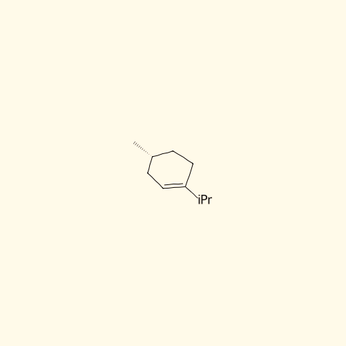 CC(C)C1=CC[C@H](C)CC1